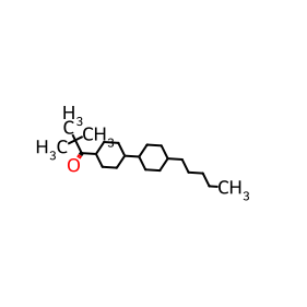 CCCCCC1CCC(C2CCC(C(=O)C(C)(C)C)CC2)CC1